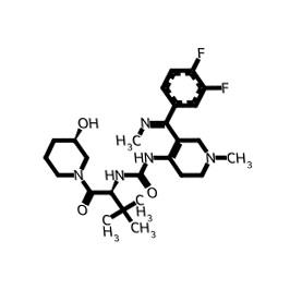 C/N=C(\C1=C(NC(=O)N[C@H](C(=O)N2CCC[C@@H](O)C2)C(C)(C)C)CCN(C)C1)c1ccc(F)c(F)c1